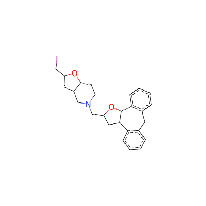 ICC1CC2CN(CC3CC4c5ccccc5Cc5ccccc5C4O3)CCC2O1